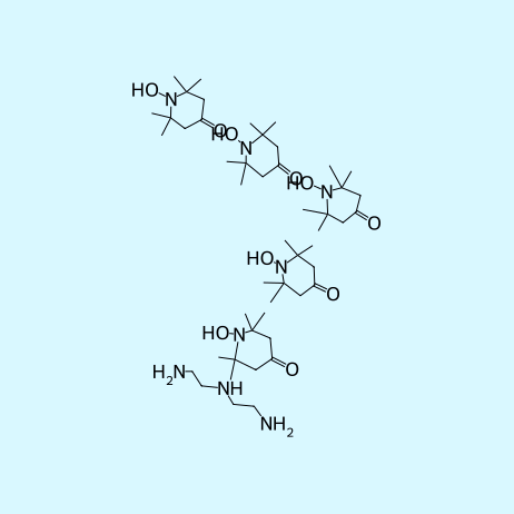 CC1(C)CC(=O)CC(C)(C)N1O.CC1(C)CC(=O)CC(C)(C)N1O.CC1(C)CC(=O)CC(C)(C)N1O.CC1(C)CC(=O)CC(C)(C)N1O.CC1(C)CC(=O)CC(C)(C)N1O.NCCNCCN